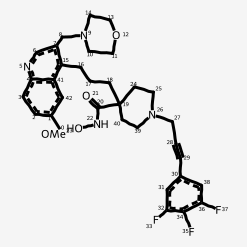 COc1ccc2ncc(CN3CCOCC3)c(CCCC3(C(=O)NO)CCN(CC#Cc4cc(F)c(F)c(F)c4)CC3)c2c1